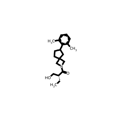 CC[C@H](CO)C(=O)N1CC2(CCC(c3c(C)cccc3C)C2)C1